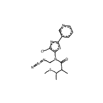 CSC(C)C(C)C(=O)N(CN=[N+]=[N-])c1sc(-c2cccnc2)nc1Cl